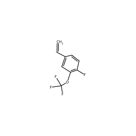 C=[C]c1ccc(F)c(OC(F)(F)F)c1